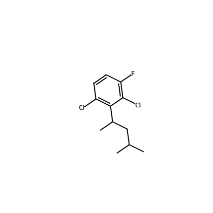 CC(C)CC(C)c1c(Cl)ccc(F)c1Cl